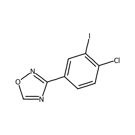 Clc1ccc(-c2ncon2)cc1I